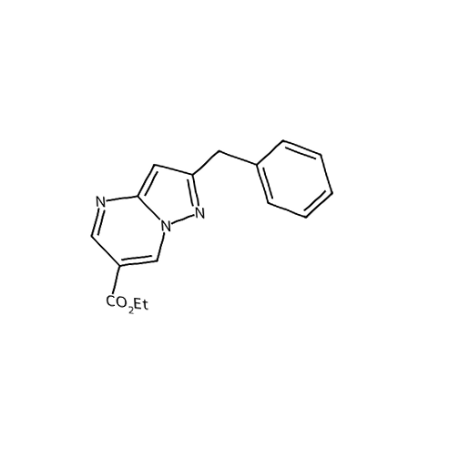 CCOC(=O)c1cnc2cc(Cc3ccccc3)nn2c1